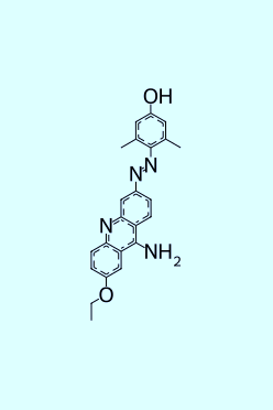 CCOc1ccc2nc3cc(N=Nc4c(C)cc(O)cc4C)ccc3c(N)c2c1